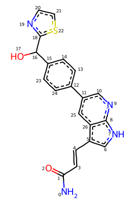 NC(=O)C=Cc1c[nH]c2ncc(-c3ccc(C(O)c4nccs4)cc3)cc12